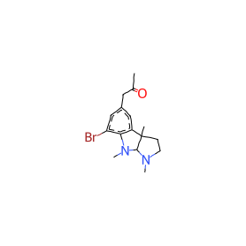 CC(=O)Cc1cc(Br)c2c(c1)C1(C)CCN(C)C1N2C